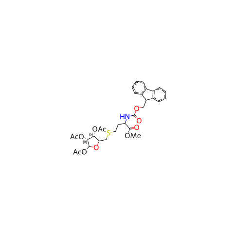 COC(=O)C(CCSCC1OC(OC(C)=O)[C@H](OC(C)=O)[C@@H]1OC(C)=O)NC(=O)OCC1c2ccccc2-c2ccccc21